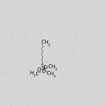 CCCCCCCC/C=C/[Si](OCC)(OCC)OCC